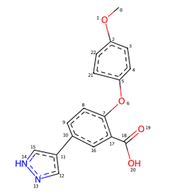 COc1ccc(Oc2ccc(-c3cn[nH]c3)cc2C(=O)O)cc1